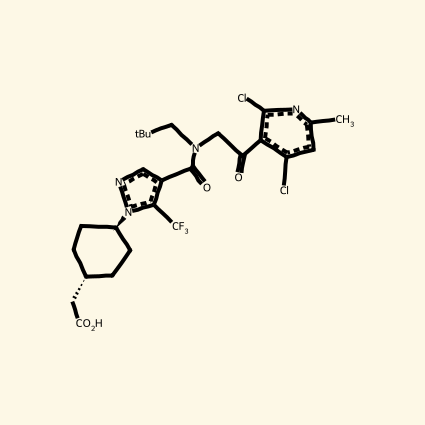 Cc1cc(Cl)c(C(=O)CN(CC(C)(C)C)C(=O)c2cnn([C@H]3CC[C@H](CC(=O)O)CC3)c2C(F)(F)F)c(Cl)n1